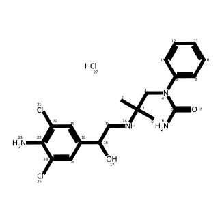 CC(C)(CN(C(N)=O)c1ccccc1)NCC(O)c1cc(Cl)c(N)c(Cl)c1.Cl